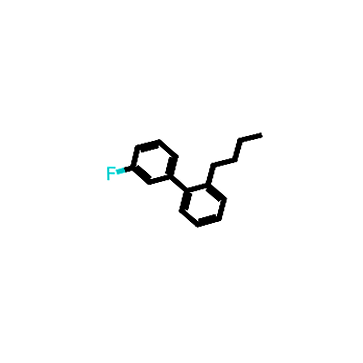 CCCCc1ccccc1-c1cccc(F)c1